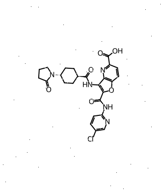 O=C(O)c1ccc2oc(C(=O)Nc3ccc(Cl)cn3)c(NC(=O)[C@H]3CC[C@H](N4CCCC4=O)CC3)c2n1